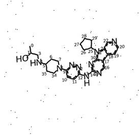 CC(O)CNC1CCN(c2ccc(Nc3ncc4c5ccncc5n(C5CCCC5)c4n3)nn2)CC1